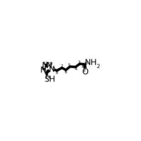 NC(=O)CCCCCCn1nnnc1S